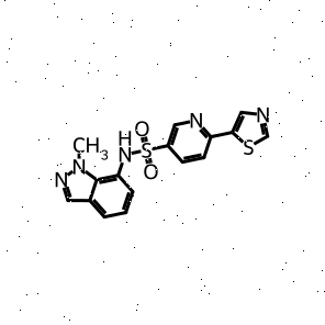 Cn1ncc2cccc(NS(=O)(=O)c3ccc(-c4cncs4)nc3)c21